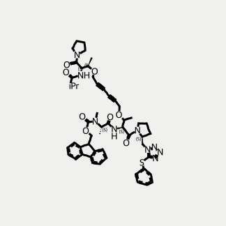 CC(C)C(=O)N[C@H](C(=O)N1CCCC1)[C@@H](C)OCC#CC#CCOC(C)[C@H](NC(=O)[C@H](C)N(C)C(=O)OCC1c2ccccc2-c2ccccc21)C(=O)N1CCC[C@H]1Cn1nnnc1Sc1ccccc1